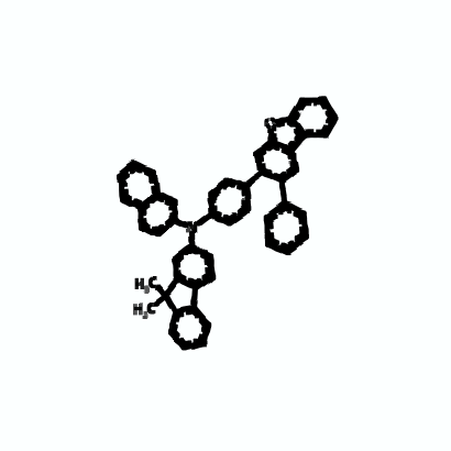 CC1(C)c2ccccc2-c2ccc(N(c3ccc(-c4cc5oc6ccccc6c5cc4-c4ccccc4)cc3)c3ccc4ccccc4c3)cc21